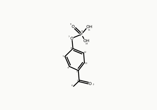 CC(=O)c1ccc(OP(=O)(O)O)cc1